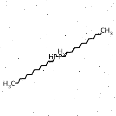 CCCCCCCCCC/C=C/P[PH3]/C=C/CCCCCCCCCC